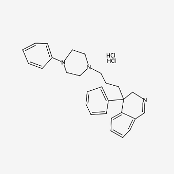 C1=NCC(CCCN2CCN(c3ccccc3)CC2)(c2ccccc2)c2ccccc21.Cl.Cl